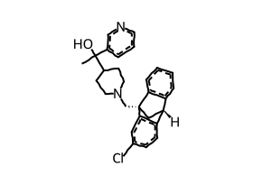 CC(O)(c1cccnc1)C1CCN(C[C@@]23C[C@H](c4ccccc42)c2ccc(Cl)cc23)CC1